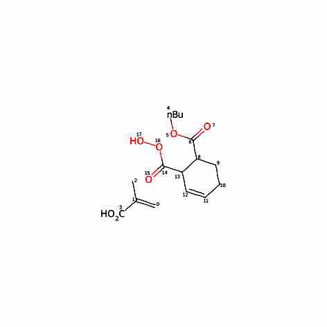 C=C(C)C(=O)O.CCCCOC(=O)C1CCC=CC1C(=O)OO